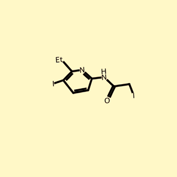 CCc1nc(NC(=O)CI)ccc1I